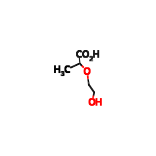 CC(OCCO)C(=O)O